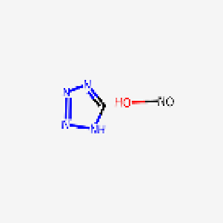 O=NO.c1nnn[nH]1